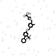 Cc1cc(COc2ccc(C3CCCCC3)c(C(F)(F)F)c2)ccc1CN1CC(C(=O)O)C1